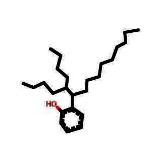 CCCCCCCCCC(c1ccccc1O)C(CCCC)CCCC